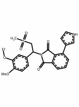 CCOc1cc(C(CS(C)(=O)=O)N2C(=O)c3cccc(-c4cc[nH]c4)c3C2=O)ccc1OC